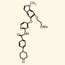 COCCOc1cc2c(ccn2C)cc1Oc1ccnc(NC(=O)c2ccc(C3CCNCC3)cc2)c1